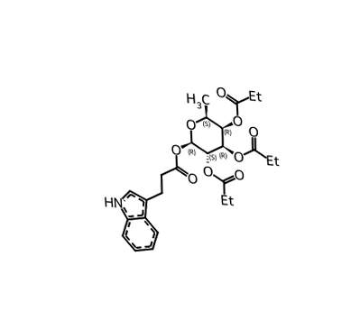 CCC(=O)O[C@H]1[C@H](OC(=O)CC)[C@@H](OC(=O)CCc2c[nH]c3ccccc23)O[C@@H](C)[C@H]1OC(=O)CC